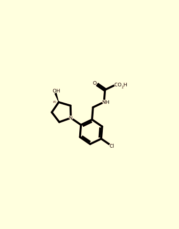 O=C(O)C(=O)NCc1cc(Cl)ccc1N1CC[C@@H](O)C1